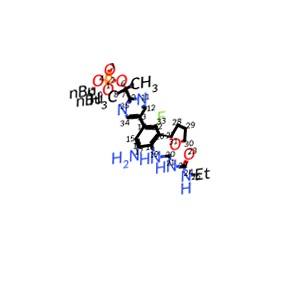 CCCCOP(=O)(OCCCC)OC(C)(C)c1ncc(-c2cc(N)c(NCNC(=O)NCC)c([C@H]3CCCO3)c2F)cn1